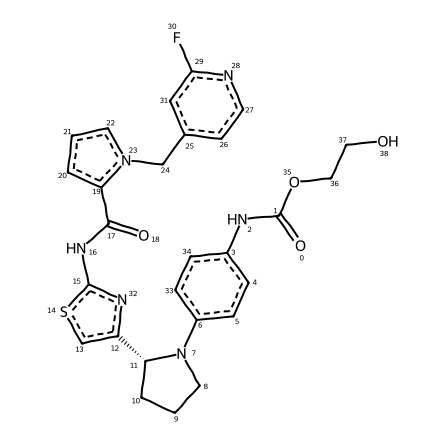 O=C(Nc1ccc(N2CCC[C@@H]2c2csc(NC(=O)c3cccn3Cc3ccnc(F)c3)n2)cc1)OCCO